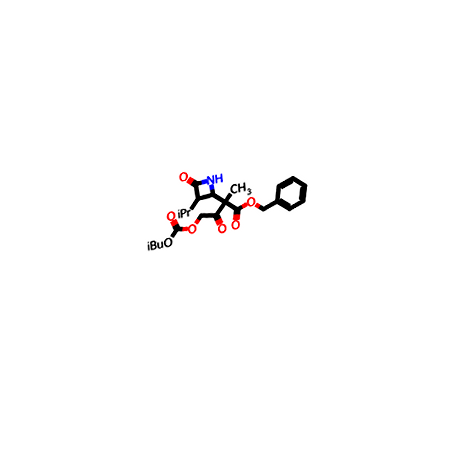 CC(C)COC(=O)OCC(=O)C(C)(C(=O)OCc1ccccc1)C1NC(=O)C1C(C)C